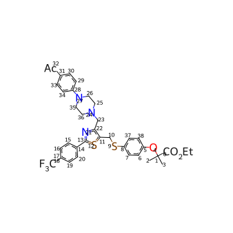 CCOC(=O)C(C)(C)Oc1ccc(SCc2sc(-c3ccc(C(F)(F)F)cc3)nc2CN2CCN(c3ccc(C(C)=O)cc3)CC2)cc1